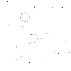 CN1CCCC2C[C@@]21COc1nc2c(c(N3CCNC(CC#N)C3)n1)CCN(c1cnccc1C#N)C2